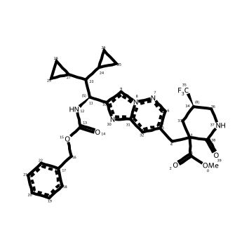 COC(=O)C1(Cc2cnn3cc([C@@H](NC(=O)OCc4ccccc4)C(C4CC4)C4CC4)nc3c2)C[C@@H](C(F)(F)F)CNC1=O